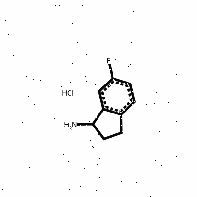 Cl.NC1CCc2ccc(F)cc21